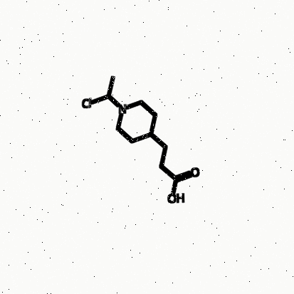 CC(Cl)N1CCC(CCC(=O)O)CC1